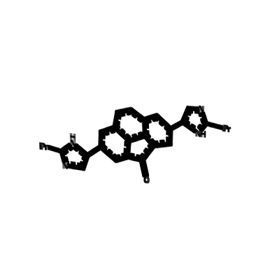 CC(C)c1ncc(-c2cc3ccc4cc(-c5cnc(C(C)C)[nH]5)cc5c(=O)c(c2)c3c45)[nH]1